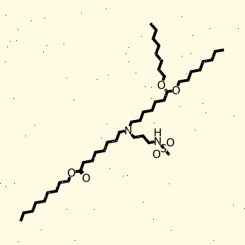 CCCCCCCCCOC(=O)CCCCCCCN(CCCCCCC(OCCCCCCCC)OCCCCCCCC)CCCNS(C)(=O)=O